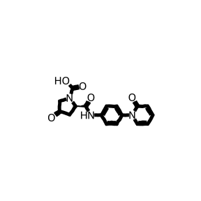 O=C1C[C@H](C(=O)Nc2ccc(-n3ccccc3=O)cc2)N(C(=O)O)C1